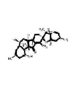 CC1=C2C(=O)[C@H]3[C@@H](C[C@H](O)C4C[C@H](O)C[C@@H](O)[C@@]43C)[C@@H]2CC[C@]12O[C@@H]1C[C@H](C)CN[C@H]1[C@H]2C